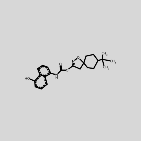 CC(C)(C)C1CCC2(CC1)CC(OC(=O)Nc1cccc3c(O)cccc13)=NO2